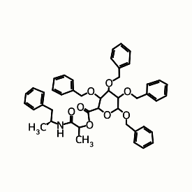 CC(OC(=O)C1OC(OCc2ccccc2)C(OCc2ccccc2)C(OCc2ccccc2)C1OCc1ccccc1)C(=O)N[C@@H](C)Cc1ccccc1